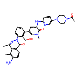 CC(=O)N1CCN(c2ccc(Nc3cc(-c4cccc(-n5nc(C)c6c(C)c(N)ccc6c5=O)c4CO)cn(C)c3=O)nc2)CC1